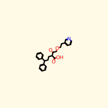 O=C(O)C(CCC(c1ccccc1)c1ccccc1)C(=O)COCCc1cccnc1